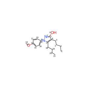 CCCCc1c(O)nn(-c2ccc(OC)cc2)c1CCCC